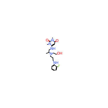 CC(CNc1cc(=O)n(C)c(=O)n1C)N(CCO)CCCNc1ccccc1F